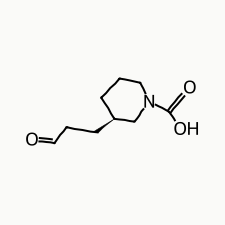 O=CCC[C@H]1CCCN(C(=O)O)C1